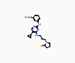 CC(=O)Nc1cccc(Nc2ncc(C3CC3)c(NCCCN3CCCC3=O)n2)c1